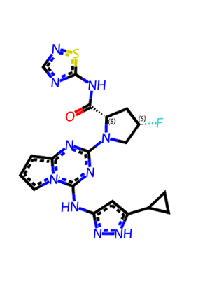 O=C(Nc1ncns1)[C@@H]1C[C@H](F)CN1c1nc(Nc2cc(C3CC3)[nH]n2)n2cccc2n1